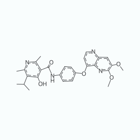 COc1cc2nccc(Oc3ccc(NC(=O)c4c(C)nc(C)c(C(C)C)c4O)cc3)c2nc1OC